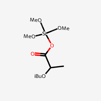 CO[Si](OC)(OC)OC(=O)C(C)OCC(C)C